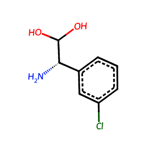 N[C@@H](c1cccc(Cl)c1)C(O)O